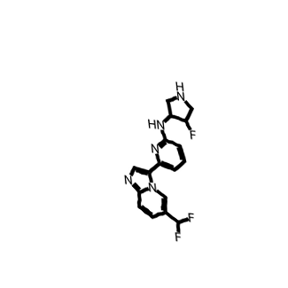 FC(F)c1ccc2ncc(-c3cccc(NC4CNCC4F)n3)n2c1